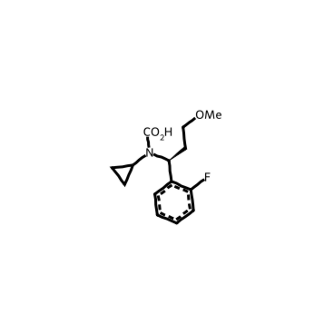 COCC[C@@H](c1ccccc1F)N(C(=O)O)C1CC1